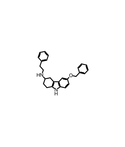 c1ccc(CCNC2CCc3[nH]c4ccc(OCc5ccccc5)cc4c3C2)cc1